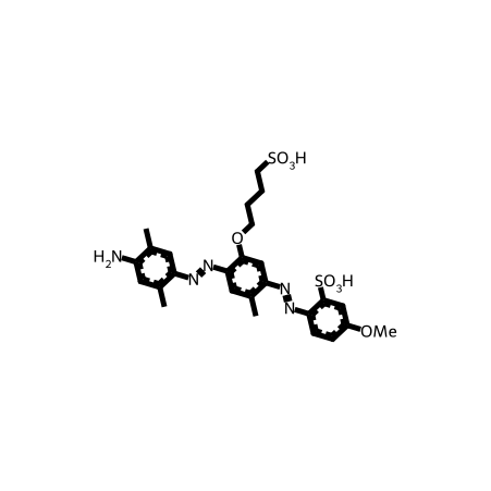 COc1ccc(N=Nc2cc(OCCCCS(=O)(=O)O)c(N=Nc3cc(C)c(N)cc3C)cc2C)c(S(=O)(=O)O)c1